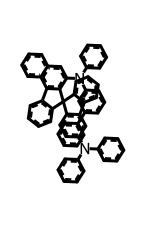 c1ccc(-c2cccc(N(c3ccccc3)c3cc4ccccc4c4c3C3(c5ccccc5-c5cc(N(c6ccccc6)c6ccccc6)ccc53)c3ccccc3-4)c2)cc1